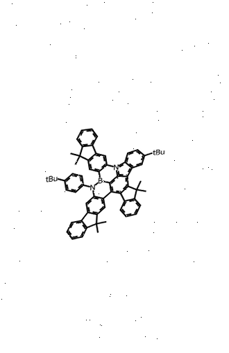 CC(C)(C)c1ccc(N2B3c4cc5c(cc4-n4c6ccc(C(C)(C)C)cc6c6c7c(c(c3c64)-c3cc4c(cc32)-c2ccccc2C4(C)C)-c2ccccc2C7(C)C)-c2ccccc2C5(C)C)cc1